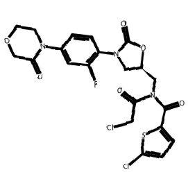 O=C(CCl)N(C[C@H]1CN(c2ccc(N3CCOCC3=O)cc2F)C(=O)O1)C(=O)c1ccc(Cl)s1